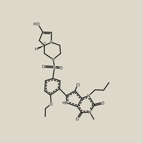 CCCn1c(=O)n(C)c(=O)c2[nH]c(-c3cc(S(=O)(=O)N4CCN5C=C(O)C[C@H]5C4)ccc3OCC)c(Cl)c21